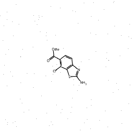 COC(=O)c1ccc2nc(N)sc2c1Cl